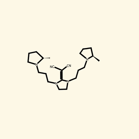 C[C@@H]1CCCN1CCCN1CCN(CCCN2CCC[C@@H]2C)C1=C(C#N)C#N